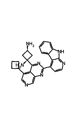 N[C@H]1C[C@](N)(c2nc(-c3ccnc4[nH]c5ccccc5c34)nc3cncc(C4CCC4)c32)C1